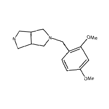 COc1ccc(CN2CC3C[N]CC3C2)c(OC)c1